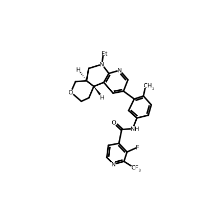 CCN1C[C@@H]2COCC[C@H]2c2cc(-c3cc(NC(=O)c4ccnc(C(F)(F)F)c4F)ccc3C)cnc21